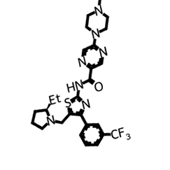 CC[C@@H]1CCCN1Cc1sc(NC(=O)c2cnc(N3CCN(CC(=O)O)CC3)cn2)nc1-c1cccc(C(F)(F)F)c1